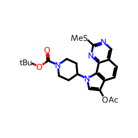 CSc1ncc2ccc3c(OC(C)=O)cn(C4CCN(C(=O)OC(C)(C)C)CC4)c3c2n1